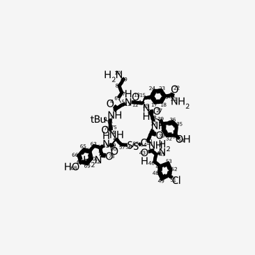 CC(C)(C)[C@@H]1NC(=O)[C@H](CCCCN)NC(=O)[C@@H](Cc2ccc(C(N)=O)cc2)NC(=O)[C@H](Cc2ccc(O)cc2)NC(=O)[C@H](NC(O)[C@@H](N)Cc2ccc(Cl)cc2)CSSC[C@@H](C(=O)NC(Cc2ccc(O)cc2)C(N)=O)NC1=O